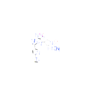 CC(=O)c1c(C2CCN(C(=O)c3nnc[nH]3)CC2)nc2c(-c3ccc(-c4nccs4)nc3)cnn2c1N